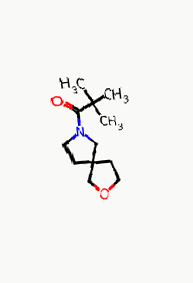 CC(C)(C)C(=O)N1CCC2(CCOC2)C1